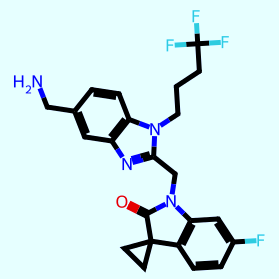 NCc1ccc2c(c1)nc(CN1C(=O)C3(CC3)c3ccc(F)cc31)n2CCCC(F)(F)F